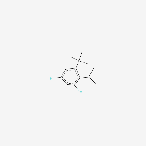 CC(C)c1c(F)cc(F)cc1C(C)(C)C